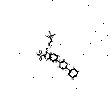 C[Si](C)(C)CCOCn1c(S(C)(=O)=O)nc2cc(-c3ccc(-c4ccccc4)cc3)ccc21